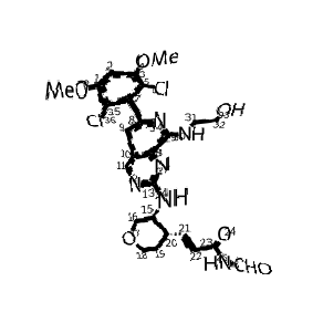 COc1cc(OC)c(Cl)c(-c2cc3cnc(N[C@@H]4COCC[C@H]4C=CC(=O)NC=O)nc3c(NCCO)n2)c1Cl